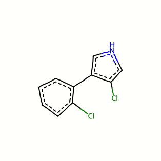 Clc1c[nH][c]c1-c1ccccc1Cl